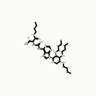 CCCCOC(=O)[C@@H](NC(=O)Nc1ncnc2c1ncn2[C@@H]1OC[C@@H](OCCCC)C(OCCCC)[C@@H]1OCCCC)[C@@H](C)O